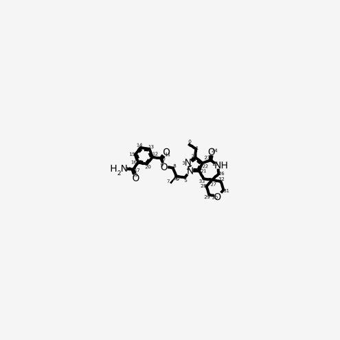 CCc1nn(C[C@@H](C)COC(=O)c2cccc(C(N)=O)c2)c2c1C(=O)NCC1(CCOCC1)C2